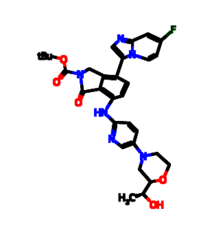 C[C@H](O)C1CN(c2ccc(Nc3ccc(-c4cnc5cc(F)ccn45)c4c3C(=O)N(C(=O)OC(C)(C)C)C4)nc2)CCO1